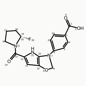 O=C(O)c1ccc(N2COc3cc(C(=O)N4CCC[C@@H]4F)[nH]c32)cc1